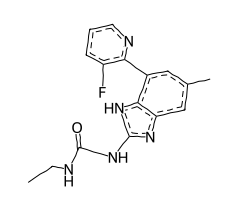 CCNC(=O)Nc1nc2cc(C)cc(-c3ncccc3F)c2[nH]1